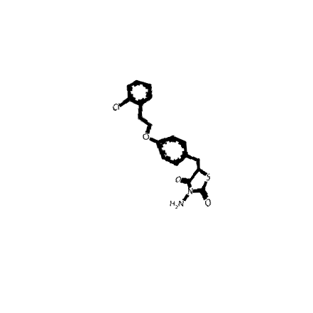 NN1C(=O)SC(Cc2ccc(OCCc3ccccc3Cl)cc2)C1=O